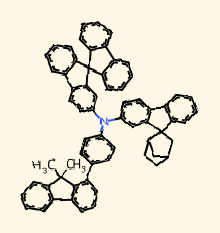 CC1(C)c2ccccc2-c2cccc(-c3ccc(N(c4ccc5c(c4)C4(c6ccccc6-c6ccccc64)c4ccccc4-5)c4ccc5c(c4)C4(CC6CCC4C6)c4ccccc4-5)cc3)c21